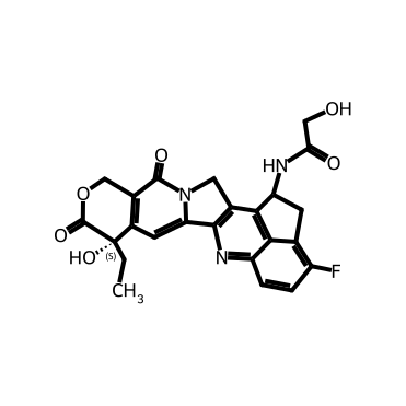 CC[C@@]1(O)C(=O)OCc2c1cc1n(c2=O)Cc2c-1nc1ccc(F)c3c1c2C(NC(=O)CO)C3